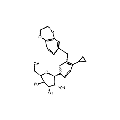 OC[C@H]1O[C@@H](c2ccc(C3CC3)c(Cc3ccc4c(c3)OCCO4)c2)[C@H](O)[C@@H](O)C1O